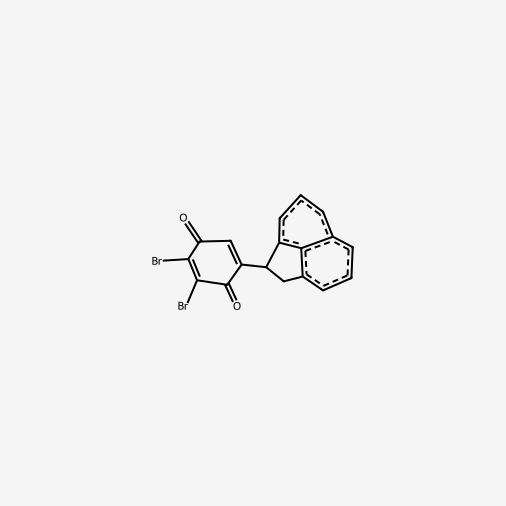 O=C1C=C(C2Cc3cccc4cccc2c34)C(=O)C(Br)=C1Br